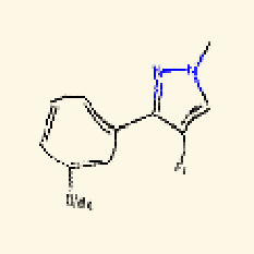 CCc1cn(C)nc1-c1cccc(OC)c1